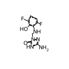 Nc1nn(CNc2c(F)ccc(F)c2O)c(=O)[nH]1